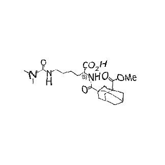 COC(=O)C12CC3CC(CC(C(=O)N[C@@H](CCCCNC(=O)N(C)C)C(=O)O)(C3)C1)C2